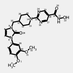 COc1ccc(-n2ccn(CC3CCN(c4ncc(C(=O)NO)cn4)CC3)c2=O)cc1OC